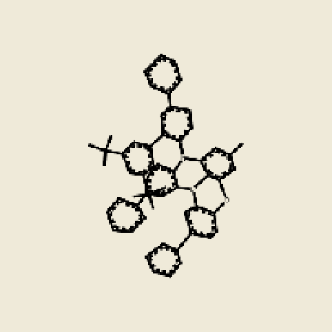 Cc1cc2c3c(c1)N(c1ccc(-c4ccccc4)cc1-c1cc(C(C)(C)C)cc(C(C)(C)C)c1)c1ccc(-c4ccccc4)cc1B3c1cc(-c3ccccc3)ccc1O2